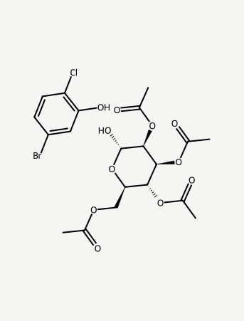 CC(=O)OC[C@H]1O[C@H](O)[C@@H](OC(C)=O)[C@@H](OC(C)=O)[C@@H]1OC(C)=O.Oc1cc(Br)ccc1Cl